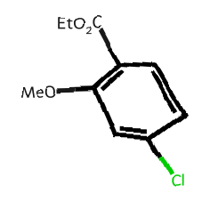 CCOC(=O)c1ccc(Cl)cc1OC